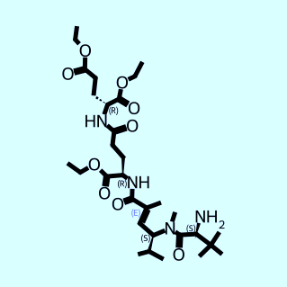 CCOC(=O)CC[C@@H](NC(=O)CC[C@@H](NC(=O)/C(C)=C/[C@H](C(C)C)N(C)C(=O)[C@@H](N)C(C)(C)C)C(=O)OCC)C(=O)OCC